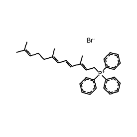 CC(C)=CCC/C(C)=C/C=C/C(C)=C/C[P+](c1ccccc1)(c1ccccc1)c1ccccc1.[Br-]